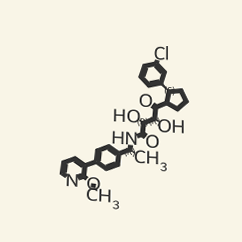 COc1ncccc1-c1ccc([C@@H](C)NC(=O)[C@H](O)[C@@H](O)C(=O)C2CCC[C@@H]2c2cccc(Cl)c2)cc1